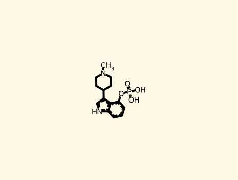 CN1CCC(c2c[nH]c3cccc(OP(=O)(O)O)c23)CC1